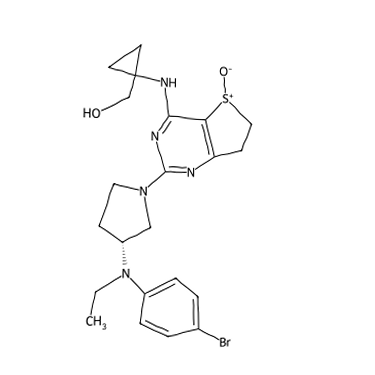 CCN(c1ccc(Br)cc1)[C@@H]1CCN(c2nc3c(c(NC4(CO)CC4)n2)[S+]([O-])CC3)C1